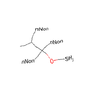 CCCCCCCCCC(C)C(CCCCCCCCC)(CCCCCCCCC)O[SiH3]